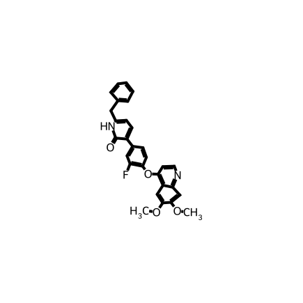 COc1cc2nccc(Oc3ccc(-c4ccc(Cc5ccccc5)[nH]c4=O)cc3F)c2cc1OC